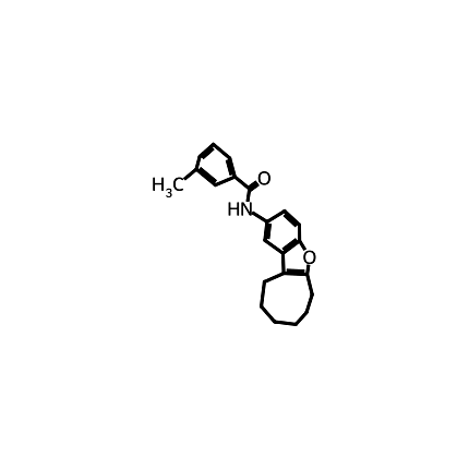 Cc1cccc(C(=O)Nc2ccc3oc4c(c3c2)CCCCCC4)c1